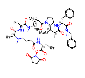 CC[C@H](C)[C@@H]([C@@H](CC(=O)N1CCC[C@H]1[C@H](OC)[C@@H](C)C(=O)N[C@@H](Cc1ccccc1)C(=O)NCc1ccccc1)OC)N(C)C(=O)[C@@H](NC(=O)[C@H](C(C)C)N(C)CCCC(=O)N[C@H](CC(C)C)C(=O)ON1C(=O)CCC1=O)C(C)C